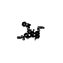 C#Cc1c(F)ccc2cc(OCOC)cc(-c3nc4c5c(nc(OCC6(CN7CCCCC7)CC6)nc5c3F)N3CCN(C(=O)OC(C)(C)C)C[C@H]3CC4)c12